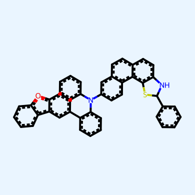 c1ccc(C2Nc3ccc4ccc5cc(N(c6ccccc6)c6ccccc6-c6ccc7oc8ccccc8c7c6)ccc5c4c3S2)cc1